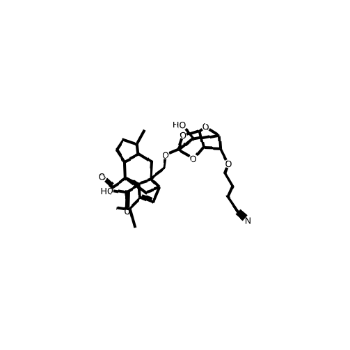 CC(C)C1=CC2CC3(C=O)C4CCC(C)C4CC2(COC24OC5OC(C(OCCCC#N)C5O2)C4O)C13C(=O)O